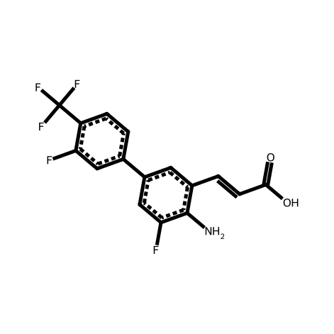 Nc1c(F)cc(-c2ccc(C(F)(F)F)c(F)c2)cc1C=CC(=O)O